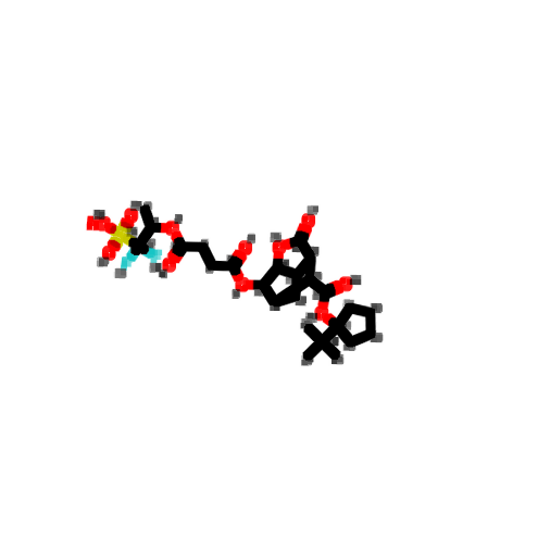 CC(OC(=O)CCC(=O)OC1C2CC3C1OC(=O)C3C2C(=O)OC1(C(C)(C)C)CCCC1)C(F)(F)S(=O)(=O)O